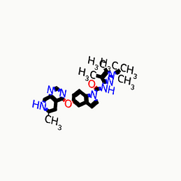 Cc1c(NC(=O)n2ccc3cc(Oc4ncnc5c4C[C@H](C)NC5)ccc32)nn(C(C)(C)C)c1C